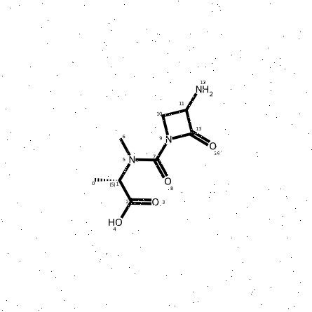 C[C@@H](C(=O)O)N(C)C(=O)N1CC(N)C1=O